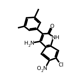 Cc1cc(C)cc(-c2c(N)c3cc([N+](=O)[O-])c(Cl)cc3[nH]c2=O)c1